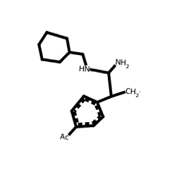 [CH2]C(c1ccc(C(C)=O)cc1)C(N)NCC1CCCCC1